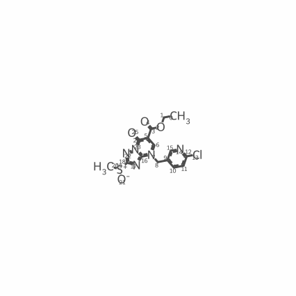 CCOC(=O)c1cn(Cc2ccc(Cl)nc2)c2nc([S+](C)[O-])nn2c1=O